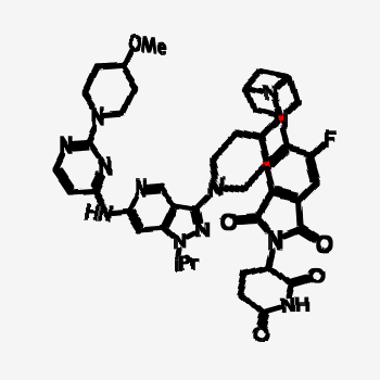 COC1CCN(c2nccc(Nc3cc4c(cn3)c(N3CCC(CN5C6CC5CN(c5cc7c(cc5F)C(=O)N(C5CCC(=O)NC5=O)C7=O)C6)CC3)nn4C(C)C)n2)CC1